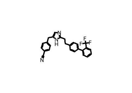 N#Cc1ccc(Cc2cnc(CCc3ccc(-c4ccccc4C(F)(F)F)cc3)[nH]2)cc1